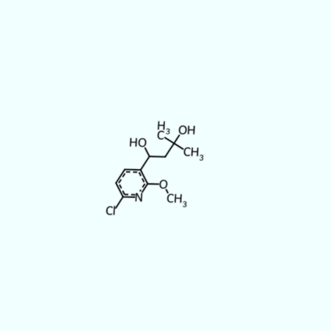 COc1nc(Cl)ccc1C(O)CC(C)(C)O